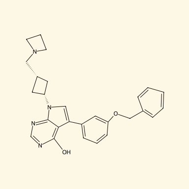 Oc1ncnc2c1c(-c1cccc(OCc3ccccc3)c1)cn2[C@H]1C[C@@H](CN2CCC2)C1